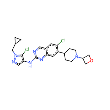 Clc1cc2cnc(Nc3cnn(CC4CC4)c3Cl)nc2cc1C1CCN(C2COC2)CC1